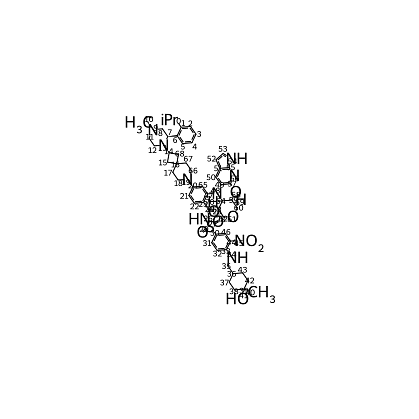 CC(C)c1ccccc1[C@@H]1CN(C)CCN1C1CC2(CCN(c3ccc(C(=O)NS(=O)(=O)c4ccc(NCC5CCC(C)(O)CC5)c([N+](=O)[O-])c4)c(N4c5cc6cc[nH]c6nc5O[C@H]5COCC[C@@H]54)c3)CC2)C1